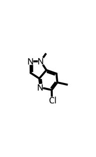 Cc1cc2c(cnn2C)nc1Cl